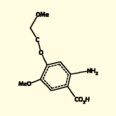 COCCOc1cc(N)c(C(=O)O)cc1OC